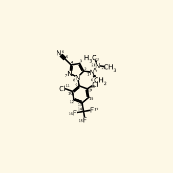 C=[N+](c1cc(C#N)nn1-c1c(Cl)cc(C(F)(F)F)cc1Cl)N(C)C